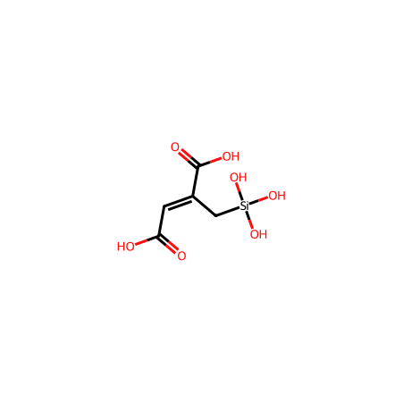 O=C(O)/C=C(\C[Si](O)(O)O)C(=O)O